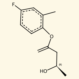 C=C(C[C@@H](C)O)Oc1ccc(F)cc1C